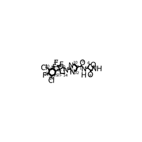 O=C(NC1CONC1=O)c1cnc(N2CCC(c3cc(Cl)c(F)c(Cl)c3)(C(F)(F)F)C2)nc1